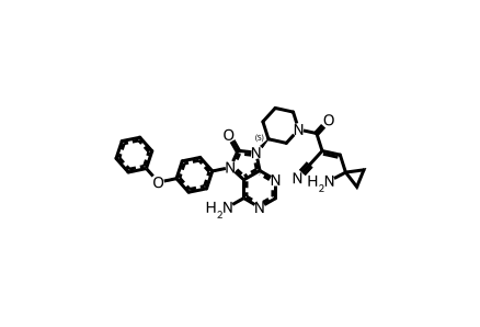 N#CC(=CC1(N)CC1)C(=O)N1CCC[C@H](n2c(=O)n(-c3ccc(Oc4ccccc4)cc3)c3c(N)ncnc32)C1